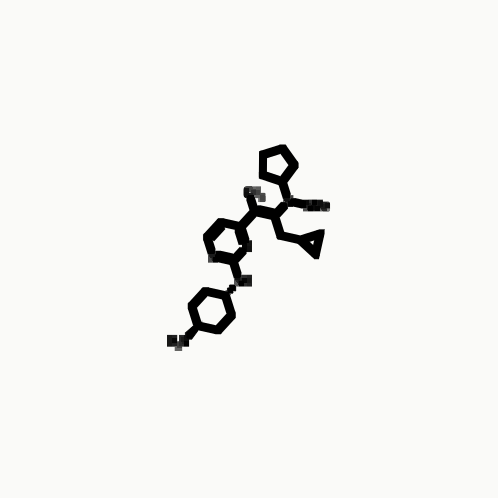 CNN(/C(CC1CC1)=C(\C)c1ccnc(N[C@H]2CC[C@H](N)CC2)n1)C1CCCC1